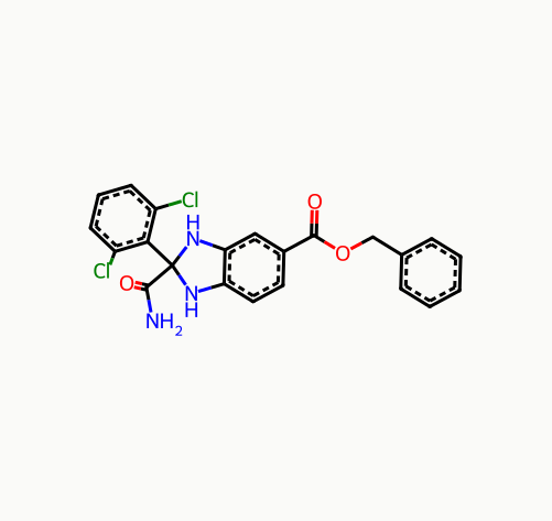 NC(=O)C1(c2c(Cl)cccc2Cl)Nc2ccc(C(=O)OCc3ccccc3)cc2N1